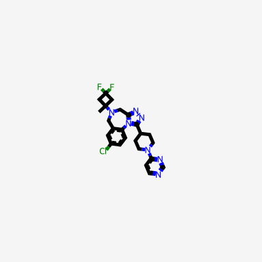 CC1(N2Cc3cc(Cl)ccc3-n3c(nnc3C3CCN(c4ccncn4)CC3)C2)CC(F)(F)C1